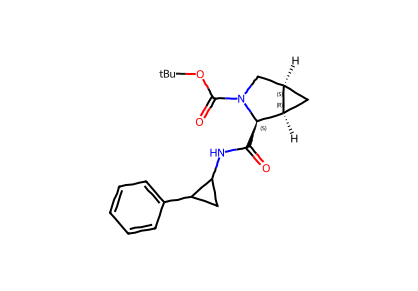 CC(C)(C)OC(=O)N1C[C@H]2C[C@H]2[C@H]1C(=O)NC1CC1c1ccccc1